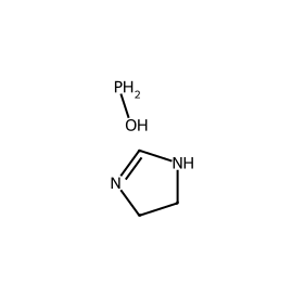 C1=NCCN1.OP